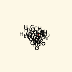 CCC(Oc1ccc(C(C)(C)CC)cc1C(C)(C)CC)C(=O)Nc1ccc(Cl)c(NC(=O)C(C(=O)C(C)(C)C)C2=[N+]([O-])CN(Cc3ccccc3)C(c3ccccc3)=[N+]2[O-])c1